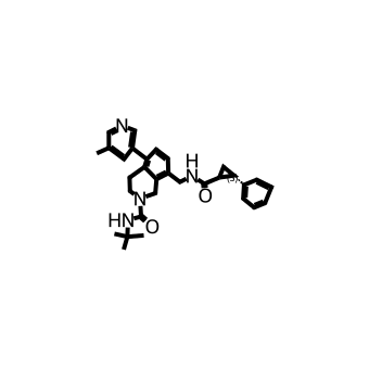 Cc1cncc(-c2ccc(CNC(=O)C3C[C@@H]3c3ccccc3)c3c2CCN(C(=O)NC(C)(C)C)C3)c1